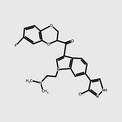 CN(C)CCn1cc(C(=O)C2COc3ccc(F)cc3O2)c2ccc(-c3c[nH]nc3Cl)cc21